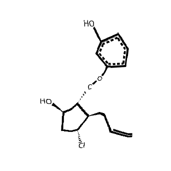 C=CC[C@@H]1[C@@H](COc2cccc(O)c2)[C@H](O)C[C@H]1Cl